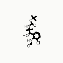 CC(C)(C)OC(=O)NC(C)(C)C(O)c1cccc(Cl)c1NC=O